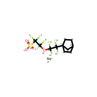 O=S(=O)([O-])C(F)(F)C(F)(F)OC(F)(F)C(F)(F)C12CCC(CC1)C2.[Na+]